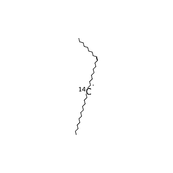 CCCCCCCC/C=C\CCCCCCC[CH]C[14CH2]CCCCCCCCCCCCCC